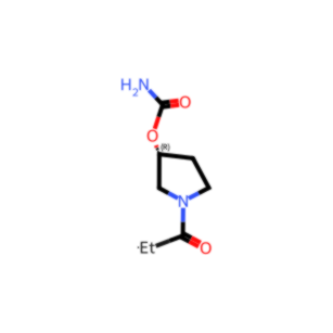 C[CH]C(=O)N1CC[C@@H](OC(N)=O)C1